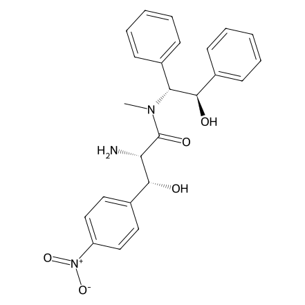 CN(C(=O)[C@@H](N)[C@H](O)c1ccc([N+](=O)[O-])cc1)[C@H](c1ccccc1)[C@H](O)c1ccccc1